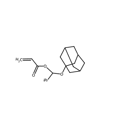 C=CC(=O)OC(OC12CC3CC(CC(C3)C1)C2)C(C)C